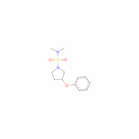 CN(C)S(=O)(=O)N1CCC(Oc2ccccc2)C1